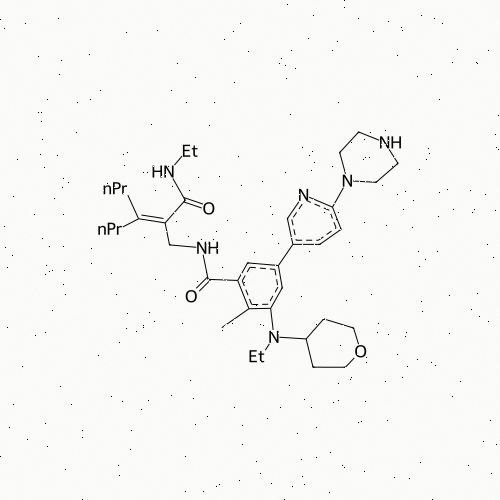 CCCC(CCC)=C(CNC(=O)c1cc(-c2ccc(N3CCNCC3)nc2)cc(N(CC)C2CCOCC2)c1C)C(=O)NCC